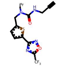 C#CCNC(=O)N(Cc1ccc(-c2noc(C(F)(F)F)n2)s1)C(C)C